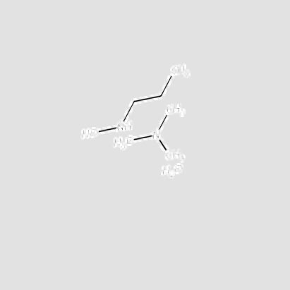 CCCNO.CN(C)C.O